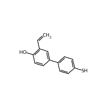 C=Cc1cc(-c2ccc(S)cc2)ccc1O